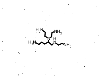 NCCCC(CNCCN)N(CCN)CCN